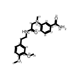 COc1ccc(CCNC(=O)CN(C)c2cccc(C(N)=O)c2)cc1OC